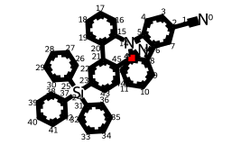 N#Cc1ccc2c(c1)c1ccccc1n2-c1ccccc1-c1cc([Si](c2ccccc2)(c2ccccc2)c2ccccc2)ccc1C#N